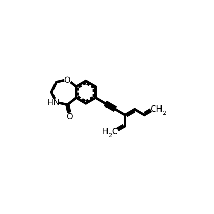 C=C/C=C(/C#Cc1ccc2c(c1)C(=O)NCCO2)C=C